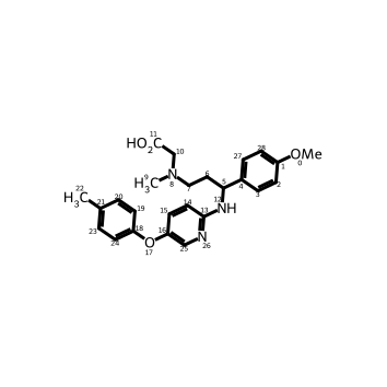 COc1ccc(C(CCN(C)CC(=O)O)Nc2ccc(Oc3ccc(C)cc3)cn2)cc1